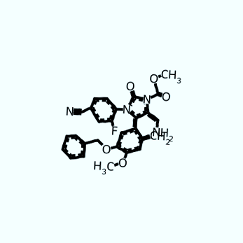 C=c1cc(OC)c(OCc2ccccc2)c/c1=c1/c(=C\N)n(C(=O)OC)c(=O)n1-c1ccc(C#N)cc1F